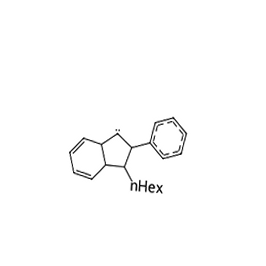 CCCCCCC1C(c2ccccc2)[C]C2C=CC=CC21